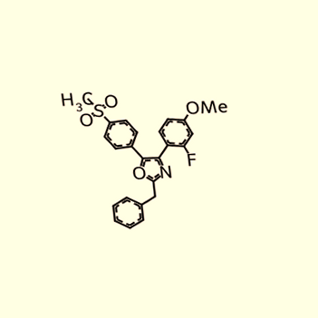 COc1ccc(-c2nc(Cc3ccccc3)oc2-c2ccc(S(C)(=O)=O)cc2)c(F)c1